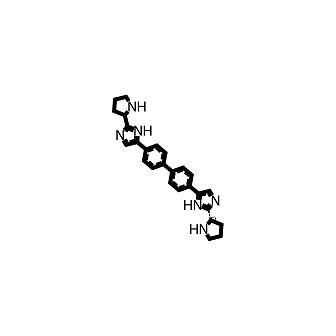 c1cc(-c2cnc(C3CCCN3)[nH]2)ccc1-c1ccc(-c2cnc([C@@H]3CCCN3)[nH]2)cc1